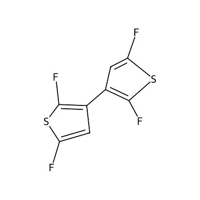 Fc1cc(-c2cc(F)sc2F)c(F)s1